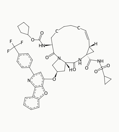 O=C(N[C@H]1CCCCC/C=C\[C@@H]2C[C@@]2(C(=O)NS(=O)(=O)C2CC2)NC(=O)[C@@H]2C[C@@H](Oc3cc(-c4ccc(C(F)(F)F)cc4)nc4c3oc3ccccc34)CN2C1=O)OC1CCCC1